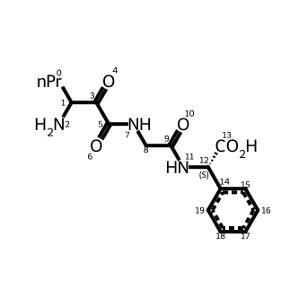 CCCC(N)C(=O)C(=O)NCC(=O)N[C@H](C(=O)O)c1ccccc1